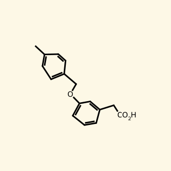 Cc1ccc(COc2cccc(CC(=O)O)c2)cc1